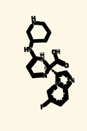 O=C(O)[C@@]1(c2cnc3ccc(F)cn23)N=CC=C(NC2CCCNC2)N1